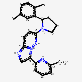 Cc1ccc(C)c(C2CCCN2c2ccc3ncc(-c4cccc(C(=O)O)n4)n3n2)c1